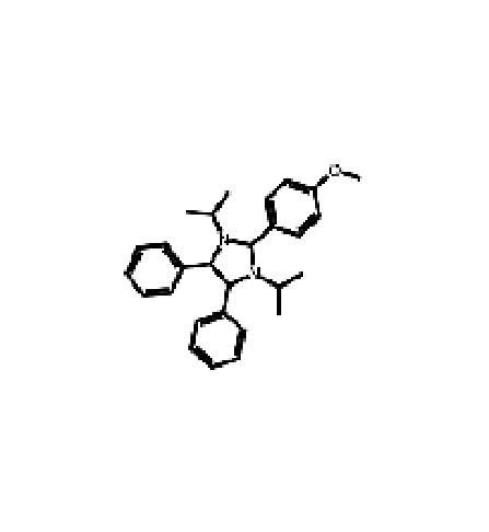 COc1ccc(C2N(C(C)C)C(c3ccccc3)C(c3ccccc3)N2C(C)C)cc1